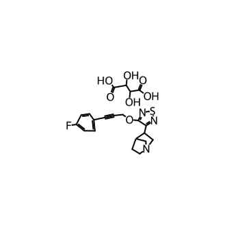 Fc1ccc(C#CCOc2nsnc2C2CN3CCC2C3)cc1.O=C(O)C(O)C(O)C(=O)O